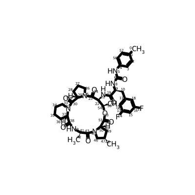 Cc1ccc(NC(=O)N[C@@H](Cc2cc(F)cc(F)c2)C(=O)N[C@@H]2C(=O)N3CCC[C@H]3C(=O)N3CCCC[C@H]3C(=O)N[C@@H](C)C(=O)N3C[C@@H](C)C[C@H]3C(=O)O[C@@H]2C)cc1